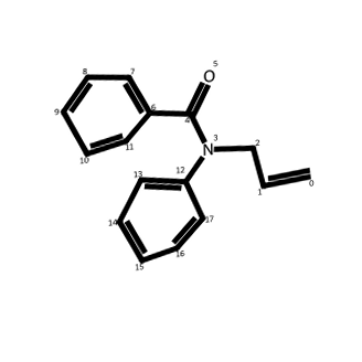 C=CCN(C(=O)c1ccccc1)c1ccccc1